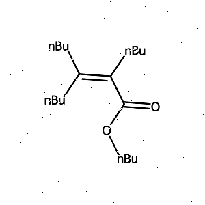 CCCCOC(=O)C(CCCC)=C(CCCC)CCCC